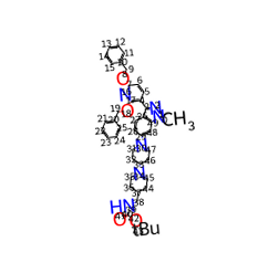 Cn1nc(-c2ccc(OCc3ccccc3)nc2OCc2ccccc2)c2ccc(N3CCC(N4CCC(CNC(=O)OC(C)(C)C)CC4)CC3)cc21